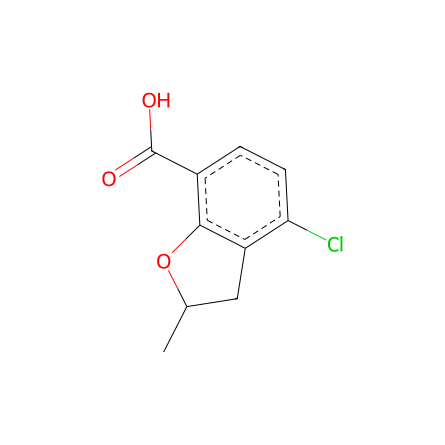 CC1Cc2c(Cl)ccc(C(=O)O)c2O1